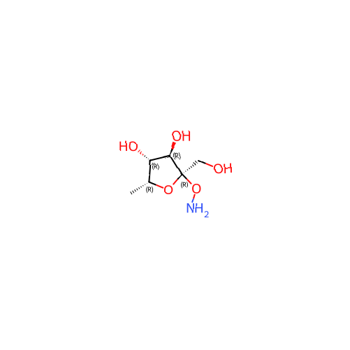 C[C@H]1O[C@](CO)(ON)[C@H](O)[C@H]1O